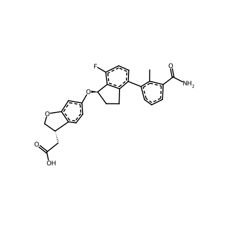 Cc1c(C(N)=O)cccc1-c1ccc(F)c2c1CC[C@H]2Oc1ccc2c(c1)OC[C@H]2CC(=O)O